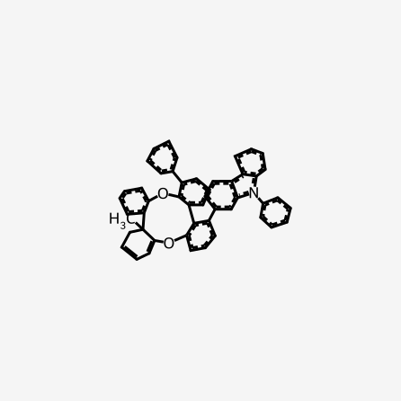 CC12CC=CC=C1Oc1cccc(-c3ccc4c5ccccc5n(-c5ccccc5)c4c3)c1-c1cccc(-c3ccccc3)c1Oc1ccccc12